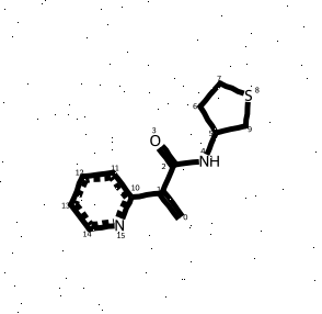 C=C(C(=O)NC1CCSC1)c1ccccn1